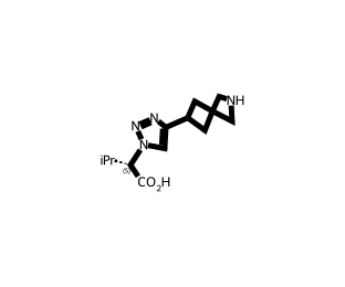 CC(C)[C@@H](C(=O)O)n1cc(C2CC3(CNC3)C2)nn1